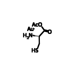 CC(=O)OC(=O)[C@@H](N)CS.[Au]